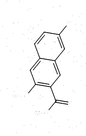 COC(=O)c1cc2cc(Br)ccc2cc1C(=O)O